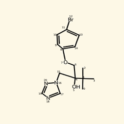 CC(C)(C)C(O)(COc1ccc(Br)cc1)Cn1cncn1